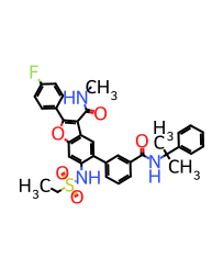 CCS(=O)(=O)Nc1cc2oc(-c3ccc(F)cc3)c(C(=O)NC)c2cc1-c1cccc(C(=O)NC(C)(C)c2ccccc2)c1